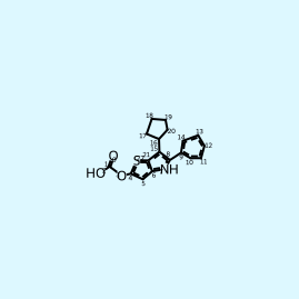 O=C(O)Oc1cc2[nH]c(-c3ccccc3)c(C3CCCC3)c2s1